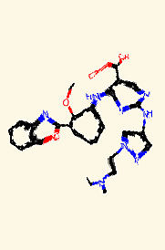 COc1c(Nc2nc(Nc3cnn(CCN(C)C)c3)ncc2C(=O)O)cccc1-c1nc2ccccc2o1